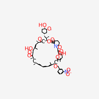 CO[C@@H]1C[C@H](C[C@@H](C)[C@@H]2CC(=O)[C@H](C)/C=C(\C)[C@@H](O)[C@@H](OC)C(=O)[C@H](C)C[C@H](C)/C=C/C=C/C=C(\C)C(OCc3cccc([N+](=O)[O-])c3)C[C@@H]3CC[C@@H](C)[C@@](O)(O3)C(=O)C(=O)N3CCCC[C@H]3C(=O)O2)CC[C@H]1O